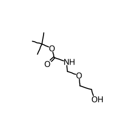 CC(C)(C)OC(=O)NCOCCO